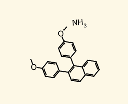 COc1ccc(-c2ccc3ccccc3c2-c2ccc(OC)cc2)cc1.N